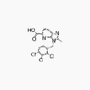 Cc1nc2ccc(C(=O)O)nc2n1Cc1ccc(Cl)c(Cl)c1Cl